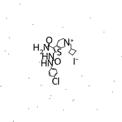 C[N+]1(CC2CCC2)CCc2c(sc(NC(=O)Nc3ccc(Cl)cc3)c2C(N)=O)C1.[I-]